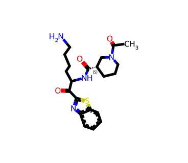 CC(=O)N1CCC[C@H](C(=O)NC(CCCCN)C(=O)c2nc3ccccc3s2)C1